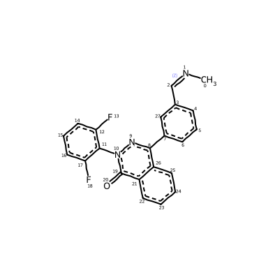 C/N=C\c1cccc(-c2nn(-c3c(F)cccc3F)c(=O)c3ccccc23)c1